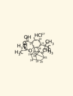 C[SiH](C)Oc1c(C(=O)O)ccc(C(C)(C)C)c1C12CC3CC(CC(C3)C1)C2.Cl